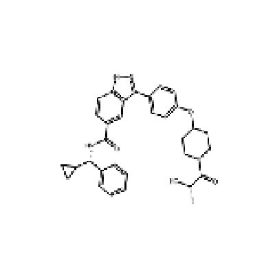 C[C@H](O)C(=O)N1CCC(Oc2ccc(-c3n[nH]c4ccc(C(=O)N[C@H](c5ccccc5)C5CC5)cc34)cc2)CC1